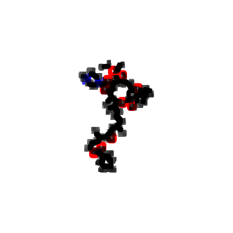 CCOC(C)OC1(C)CCC(O[Si](CC)(CC)CC)CC(=O)OC(/C(C)=C/C=C/C(C)CC2OC2C(C)C(CC)OC(=O)c2ccccc2)C(C)/C=C/C1OC(=O)N1CCN(C)CC1